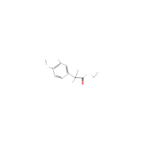 CCOC(=O)C(C)(C)c1ccc(OC)c(Br)c1